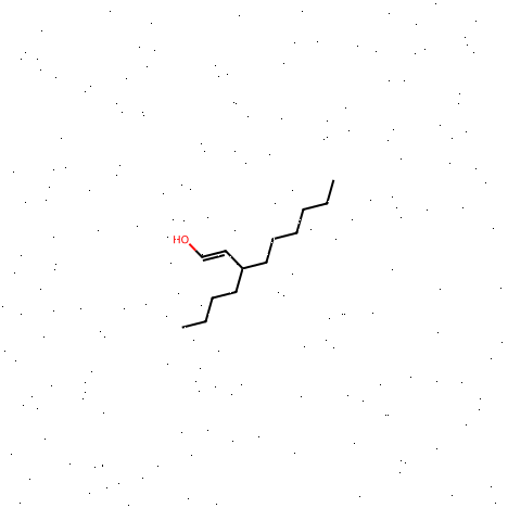 CCCCCCC(C=CO)CCCC